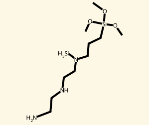 CO[Si](CCCN([SiH3])CCNCCN)(OC)OC